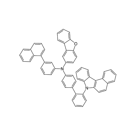 c1cc(-c2cccc3ccccc23)cc(N(c2ccc(-c3ccccc3-n3c4ccccc4c4c5ccccc5ccc43)cc2)c2ccc3oc4ccccc4c3c2)c1